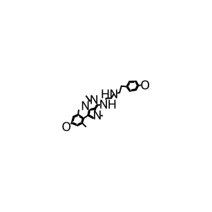 COc1ccc(CCNCCNc2nc(C)nc3c(-c4c(C)cc(OC)cc4C)cn(C)c23)cc1